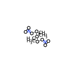 CC1(C)c2cc3c(cc2-c2c(-c4cccc(-n5c6ccccc6c6ccccc65)c4)cccc21)C(C)(C)c1cccc(-c2cccc(-n4c5ccccc5c5ccccc54)c2)c1-3